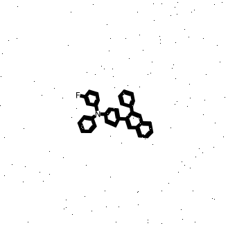 Fc1cccc(N(c2ccccc2)c2ccc(-c3cc4ccccc4cc3-c3ccccc3)cc2)c1